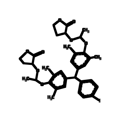 Cc1cc(C(c2ccc(I)cc2)c2cc(C)c(OC(C)OC3CCOC3=O)c(C)c2)cc(C)c1OC(C)OC1CCOC1=O